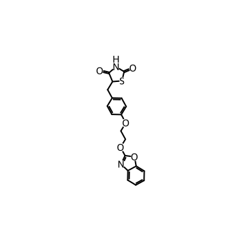 O=C1NC(=O)C(Cc2ccc(OCCOc3nc4ccccc4o3)cc2)S1